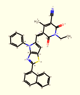 CCN1C(=O)C(C#N)=C(C)/C(=C/c2cc3sc(-c4cccc5ccccc45)nc3n2-c2ccccc2)C1=O